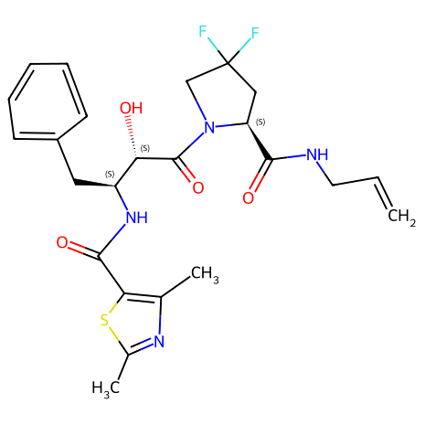 C=CCNC(=O)[C@@H]1CC(F)(F)CN1C(=O)[C@@H](O)[C@H](Cc1ccccc1)NC(=O)c1sc(C)nc1C